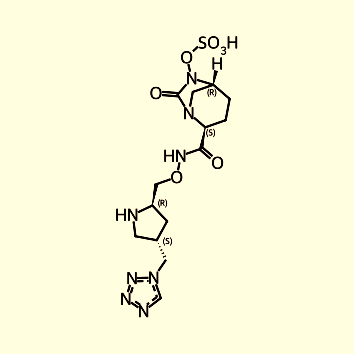 O=C(NOC[C@H]1C[C@H](Cn2cnnn2)CN1)[C@@H]1CC[C@@H]2CN1C(=O)N2OS(=O)(=O)O